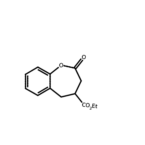 CCOC(=O)C1CC(=O)Oc2ccccc2C1